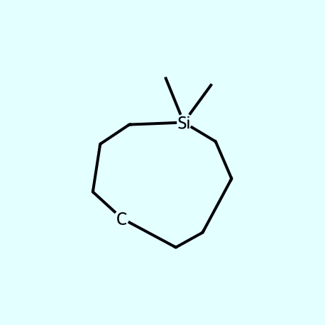 C[Si]1(C)CCCCCCCC1